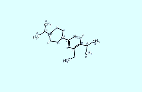 CCc1cc(N2CCN(C(C)C)CC2)ccc1C(C)C